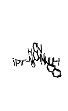 CC(C)CNC(=O)c1cc(/N=N/Nc2ccc3ccccc3c2)c2ncccc2c1